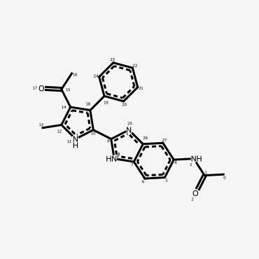 CC(=O)Nc1ccc2[nH]c(-c3[nH]c(C)c(C(C)=O)c3-c3ccccc3)nc2c1